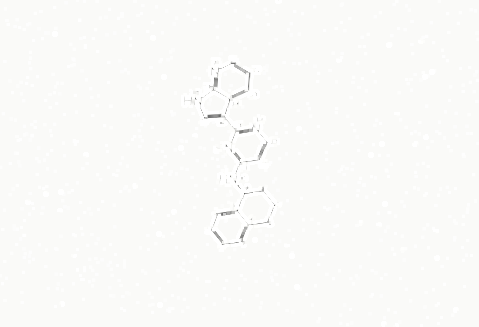 c1ccc2c(c1)CCC[C@@H]2Nc1ccnc(-c2c[nH]c3ncccc23)n1